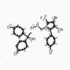 CC(O)(c1ccc(Cl)cc1)c1ccc(Cl)cc1.CCOCn1c(-c2ccc(Cl)cc2)c(C#N)c(Br)c1C(F)(F)F